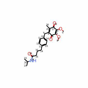 COC1=C(OC)C(=O)C(Cc2ccc(CCCC(=O)NC(C)C)cc2)=C(C)C1=O